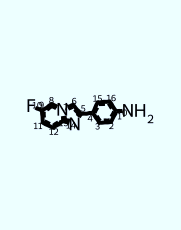 Nc1ccc(-c2cn3cc(F)ccc3n2)cc1